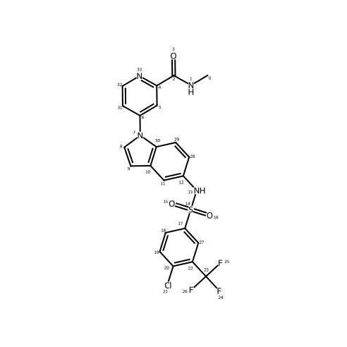 CNC(=O)c1cc(-n2ccc3cc(NS(=O)(=O)c4ccc(Cl)c(C(F)(F)F)c4)ccc32)ccn1